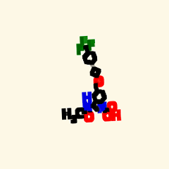 CC(=O)Nc1cn(C(=O)O)c2ccc(CO[C@H]3C[C@@H](c4ccc(C(F)(F)F)cc4)C3)cc12